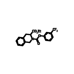 CCOC(=O)C1Cc2ccccc2CN1C(=O)Oc1cccc(C(F)(F)F)c1